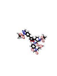 COCCCN1C(=O)COc2ccc(N(C(=O)[C@H]3CN(C(=O)OC(C)(C)C)CC[C@@H]3c3cccc(-c4ccc5cnn(C(=O)OC(C)(C)C)c5c4)c3)C3CC3)cc21